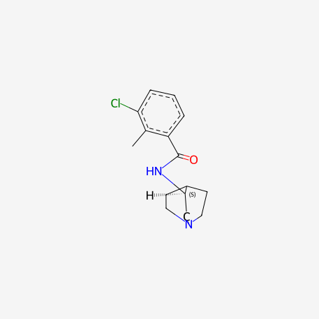 Cc1c(Cl)cccc1C(=O)N[C@@H]1CN2CCC1CC2